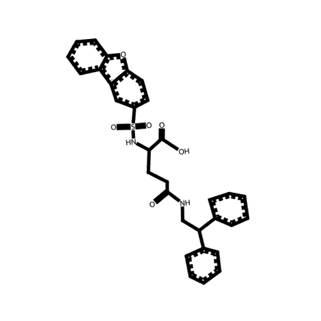 O=C(CCC(NS(=O)(=O)c1ccc2oc3ccccc3c2c1)C(=O)O)NCC(c1ccccc1)c1ccccc1